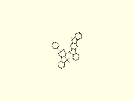 CC1(C)c2ccccc2-c2nc(-c3ccccc3)nc(-n3c4ccccc4c4cc5c(cc43)sc3ccccc35)c21